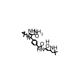 CC(C(=O)N/C(O)=C/C(=N)CC(C)(C)C)c1ccc(-c2nn(C3(C)CC3)c(N)c2C(N)=O)cc1